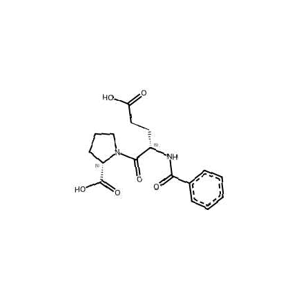 O=C(O)CC[C@H](NC(=O)c1ccccc1)C(=O)N1CCC[C@H]1C(=O)O